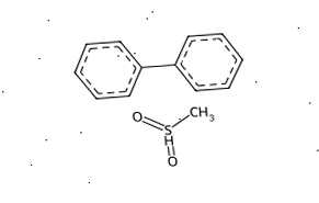 C[SH](=O)=O.c1ccc(-c2ccccc2)cc1